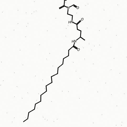 C=C(/C=C\C)N(C=O)CCNC(=O)CCC(C)NC(=O)CCCCCCCCCCCCCCCCC